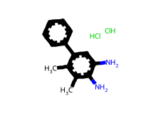 Cc1c(-c2ccccc2)cc(N)c(N)c1C.Cl.Cl